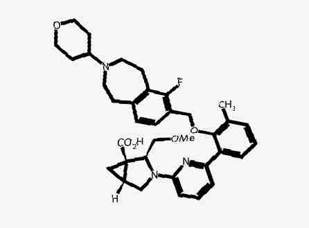 COC[C@H]1N(c2cccc(-c3cccc(C)c3OCc3ccc4c(c3F)CCN(C3CCOCC3)CC4)n2)C[C@@H]2C[C@@]21C(=O)O